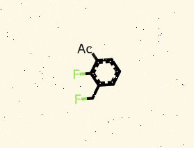 CC(=O)c1cccc(CF)c1F